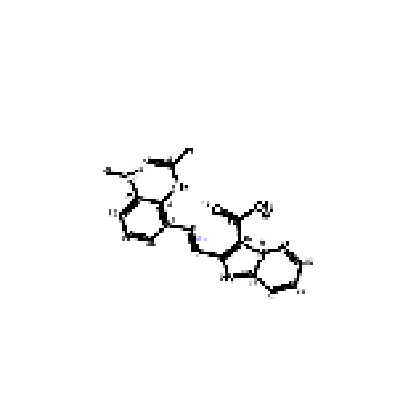 C=C(C)Oc1c(/C=C/c2nc3ccccn3c2C(=O)O)cccc1OC